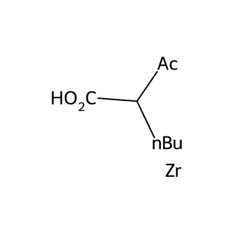 CCCCC(C(C)=O)C(=O)O.[Zr]